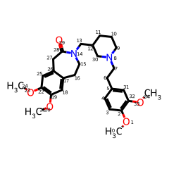 COc1ccc(CCN2CCCC(CN3CCc4cc(OC)c(OC)cc4CC3=O)C2)cc1OC